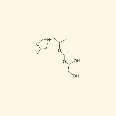 CC(CN1COC(C)C1)OCOC(O)CO